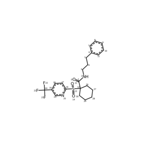 O=C(NCCCc1ccccc1)C1(S(=O)(=O)c2ccc(C(F)(F)F)cn2)CCCCC1